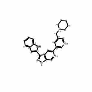 c1ccc2[nH]c(-c3n[nH]c4cnc(-c5cncc(CN6CCCCC6)c5)cc34)cc2c1